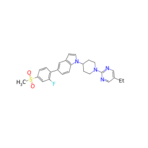 CCc1cnc(N2CCC(n3ccc4cc(-c5ccc(S(C)(=O)=O)cc5F)ccc43)CC2)nc1